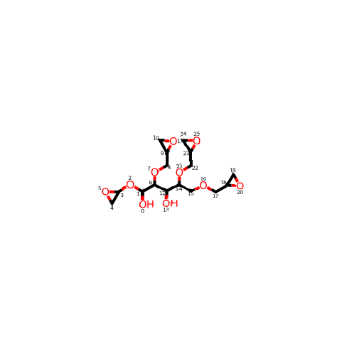 OC(OC1CO1)C(OCC1CO1)C(O)C(COCC1CO1)OCC1CO1